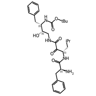 CC(C)C[C@H](NC(=O)[C@@H](N)Cc1ccccc1)C(=O)C(=O)NC[C@H](O)[C@H](Cc1ccccc1)NC(=O)OC(C)(C)C